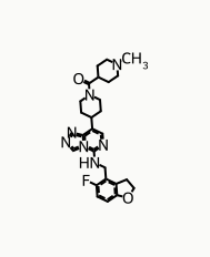 CN1CCC(C(=O)N2CCC(c3cnc(NCc4c(F)ccc5c4CCO5)n4cnnc34)CC2)CC1